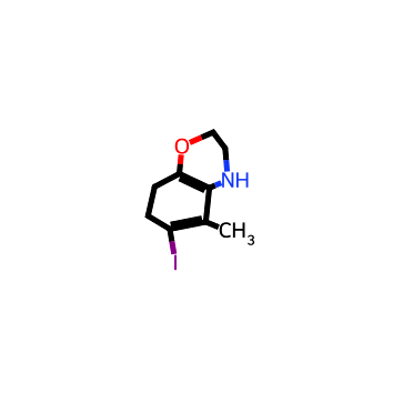 CC1=C(I)CCC2=C1NCCO2